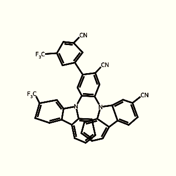 N#Cc1cc(-c2cc(-n3c4ccccc4c4ccc(C(F)(F)F)cc43)c(-n3c4ccccc4c4ccc(C#N)cc43)cc2C#N)cc(C(F)(F)F)c1